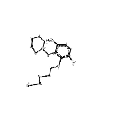 COc1ccc(C(C)=O)c(OCCCCBr)c1CN1CCCCC1